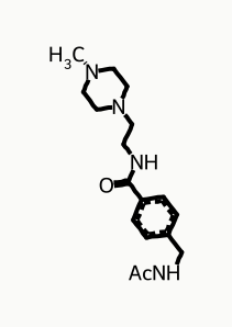 CC(=O)NCc1ccc(C(=O)NCCN2CCN(C)CC2)cc1